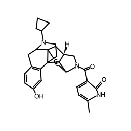 Cc1ccc(C(=O)N2C[C@H]3CC45CCC2C3C42CCN(C3CCC3)C5Cc3ccc(O)cc32)c(=O)[nH]1